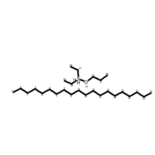 CCCCCCCCCCCCCCCCCCCC.CCCO[SiH](CC)CC